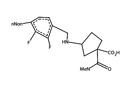 CCCCCCCCCc1ccc(CNC2CCC(C(=O)O)(C(=O)NC)C2)c(F)c1F